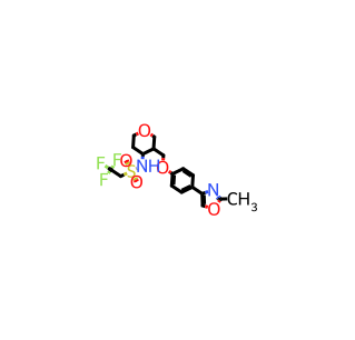 Cc1nc(-c2ccc(OCC3COCCC3NS(=O)(=O)CC(F)(F)F)cc2)co1